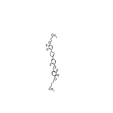 CCCCCCOc1ccc(COc2ccc(C3=CCC(c4ccc(OCCCC)c(F)c4F)CC3)cc2F)c(F)c1F